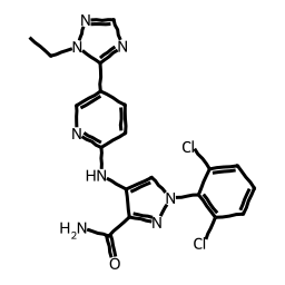 CCn1ncnc1-c1ccc(Nc2cn(-c3c(Cl)cccc3Cl)nc2C(N)=O)nc1